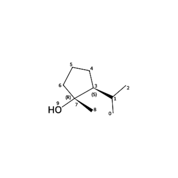 CC(C)[C@@H]1CCC[C@@]1(C)O